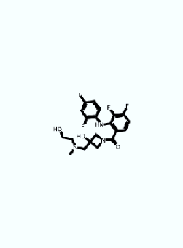 CN(CCO)CC1(O)CN(C(=O)c2ccc(F)c(F)c2Nc2ccc(I)cc2F)C1